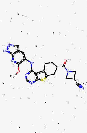 COc1nc2[nH]ncc2cc1Nc1ncnc2sc3c(c12)CC[C@H](C(=O)N1CC(C#N)C1)C3